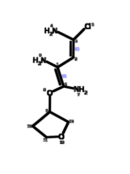 NC(/C=C(\N)Cl)=C(/N)OC1CCOC1